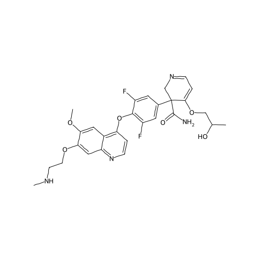 CNCCOc1cc2nccc(Oc3c(F)cc(C4(C(N)=O)CN=CC=C4OCC(C)O)cc3F)c2cc1OC